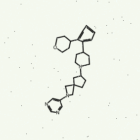 c1ccc(C2CCN(C3CCC4(C3)CN(c3cncnc3)C4)CC2)c(C2CCOCC2)c1